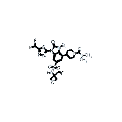 CCn1c(=O)n(-c2nnc(C(F)F)s2)c2cc(S(=O)(=O)NC3(CF)COC3)cc(C3=CCN(C(=O)N(C)C)CC3)c21